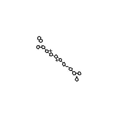 CC1(C)c2cc(-c3ccc(/C=C/c4ccc(-c5ccc6c(c5)c5ccccc5n6-c5ccccc5)cc4)cc3)ccc2-c2ccc(-c3ccc4c(c3)C(C)(C)c3cc(-c5ccc6c(c5)c5ccccc5n6-c5ccc6ccccc6c5)ccc3-4)cc21